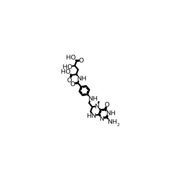 CN1c2c(nc(N)[nH]c2=O)NCC1CNc1ccc(C(=O)NC(CC(O)C(=O)O)C(=O)O)cc1